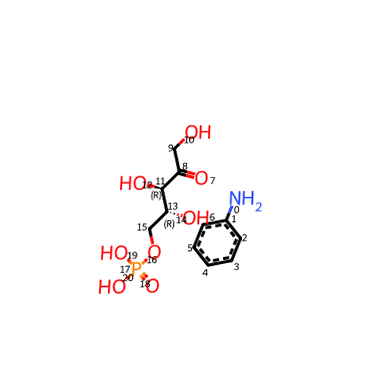 Nc1ccccc1.O=C(CO)[C@H](O)[C@H](O)COP(=O)(O)O